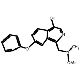 CON(C)Cc1ncc(O)c2ccc(Oc3ccccc3)cc12